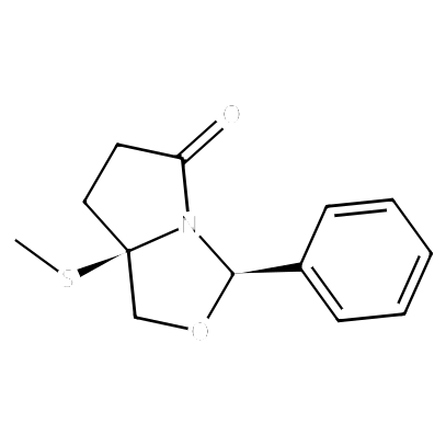 CS[C@@]12CCC(=O)N1[C@@H](c1ccccc1)OC2